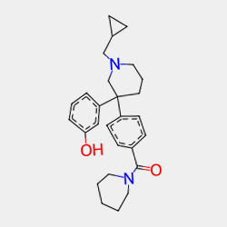 O=C(c1ccc(C2(c3cccc(O)c3)CCCN(CC3CC3)C2)cc1)N1CCCCC1